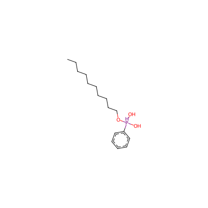 CCCCCCCCCCO[PH](O)(O)c1ccccc1